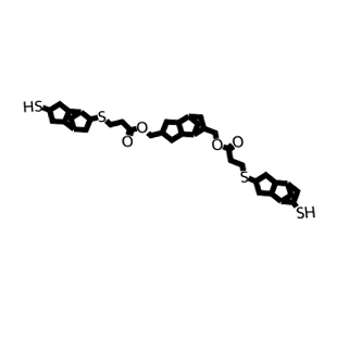 O=C(CCSC1CC2CC1C1CC(S)CC21)OCC1CC2C3CC(COC(=O)CCSC4CC5C6CC(S)C(C6)C5C4)C(C3)C2C1